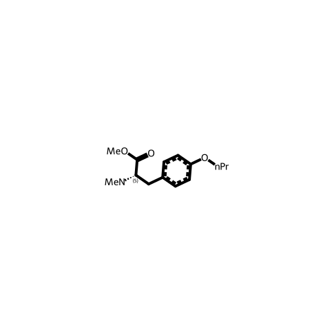 CCCOc1ccc(C[C@H](NC)C(=O)OC)cc1